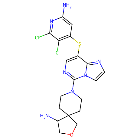 Nc1cc(Sc2cnc(N3CCC4(CC3)COCC4N)n3ccnc23)c(Cl)c(Cl)n1